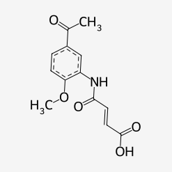 COc1ccc(C(C)=O)cc1NC(=O)C=CC(=O)O